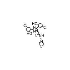 O=C(Cn1nc(-c2cc(Cl)ccc2O)nc1-c1cc(Cl)ccc1O)NCCN1CCOCC1